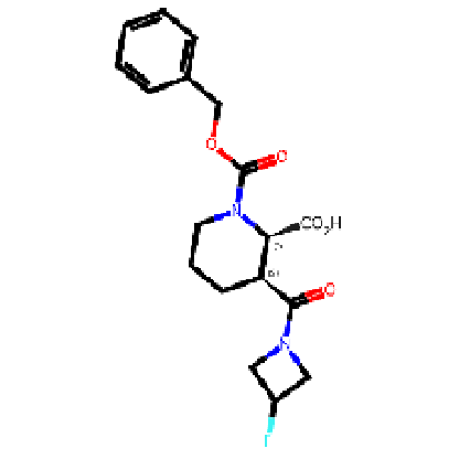 O=C(O)[C@H]1[C@@H](C(=O)N2CC(F)C2)CCCN1C(=O)OCc1ccccc1